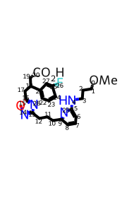 COCCCNc1cccc(CCCc2noc(CC(CC(=O)O)c3cccc(F)c3)n2)n1